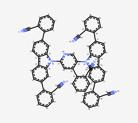 N#Cc1ccccc1-c1ccc2c3ccc(-c4ccccc4C#N)cc3n(-c3cc(-c4ccccc4C#N)c(-n4c5cc(-c6ccccc6C#N)ccc5c5ccc(-c6ccccc6C#N)cc54)cn3)c2c1